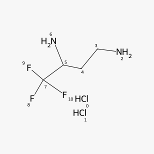 Cl.Cl.NCCC(N)C(F)(F)F